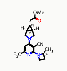 COC(=O)C[C@@H]1[C@H]2CN(c3cc(C(F)(F)F)nc(N4CC[C@@H]4C)c3C#N)C[C@@H]12